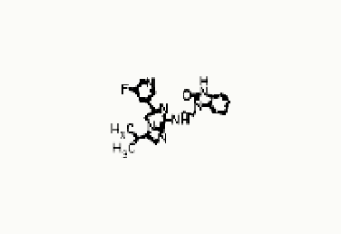 CC(C)c1cnc2c(NCCn3c(=O)[nH]c4ccccc43)nc(-c3cncc(F)c3)cn12